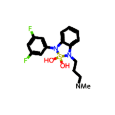 CNCCCN1c2ccccc2N(c2cc(F)cc(F)c2)S1(O)O